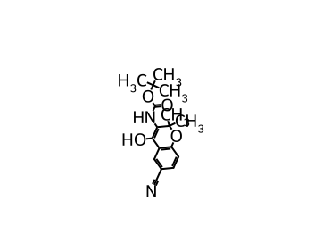 CC(C)(C)OC(=O)NC1=C(O)c2cc(C#N)ccc2OC1(C)C